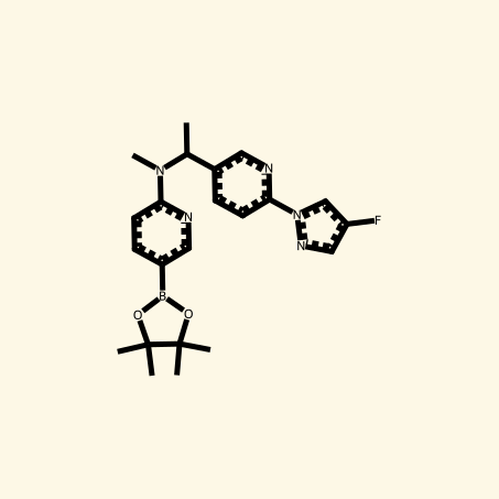 CC(c1ccc(-n2cc(F)cn2)nc1)N(C)c1ccc(B2OC(C)(C)C(C)(C)O2)cn1